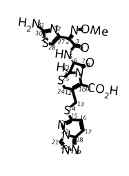 CO/N=C(\C(=O)N[C@@H]1C(=O)N2C(C(=O)O)=C(CSc3ccc4nncn4n3)CS[C@@H]12)c1csc(N)n1